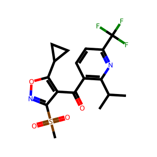 CC(C)c1nc(C(F)(F)F)ccc1C(=O)c1c(S(C)(=O)=O)noc1C1CC1